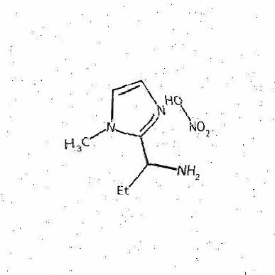 CCC(N)c1nccn1C.O=[N+]([O-])O